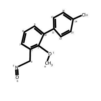 COc1c(CN=O)cccc1-c1ccc(Cl)cc1